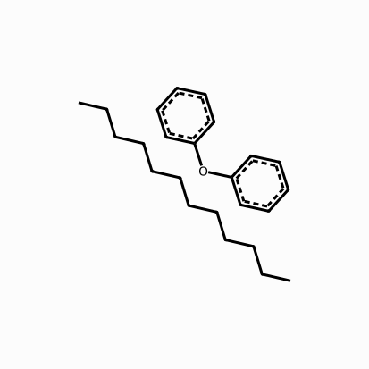 CCCCCCCCCCCC.c1ccc(Oc2ccccc2)cc1